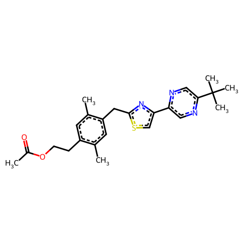 CC(=O)OCCc1cc(C)c(Cc2nc(-c3cnc(C(C)(C)C)cn3)cs2)cc1C